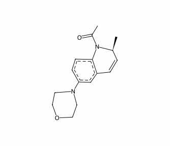 CC(=O)N1c2ccc(N3CCOCC3)cc2C=C[C@@H]1C